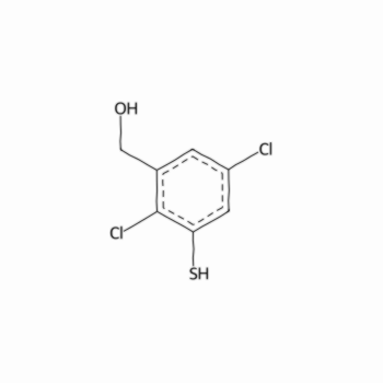 OCc1cc(Cl)cc(S)c1Cl